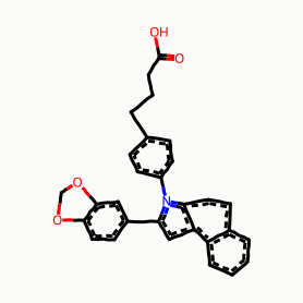 O=C(O)CCCc1ccc(-n2c(-c3ccc4c(c3)OCO4)cc3c4ccccc4ccc32)cc1